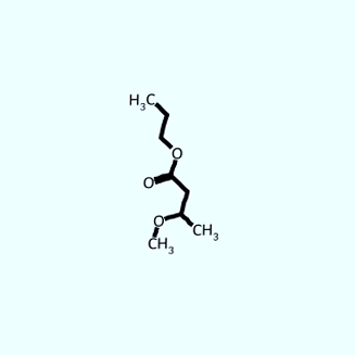 CCCOC(=O)CC(C)OC